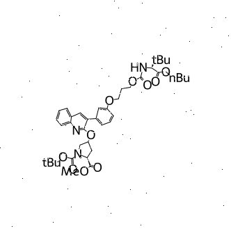 CCCCOC(=O)[C@@H](NC(=O)OCCCOc1cccc(-c2cc3ccccc3nc2O[C@@H]2C[C@@H](C(=O)OC)N(C(=O)OC(C)(C)C)C2)c1)C(C)(C)C